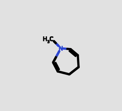 CN1C=CCCC=C1